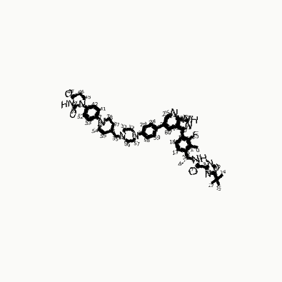 Cc1c([C@@H](C)NC(=O)c2noc(C(C)(C)C)n2)ccc(-c2n[nH]c3ncc(-c4ccc(N5CCN(CC6CCN(c7ccc(N8CCC(=O)NC8=O)cc7)CC6)CC5)cc4)cc23)c1F